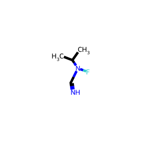 CC(C)N(F)C=N